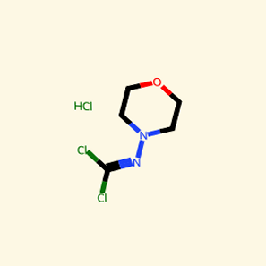 Cl.ClC(Cl)=NN1CCOCC1